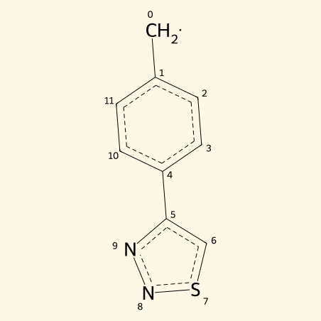 [CH2]c1ccc(-c2csnn2)cc1